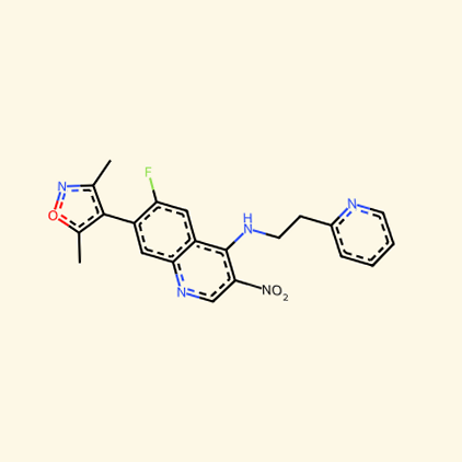 Cc1noc(C)c1-c1cc2ncc([N+](=O)[O-])c(NCCc3ccccn3)c2cc1F